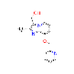 Cc1nc2c(OCc3ccccn3)cccn2c1CO